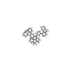 CC1(C)c2ccccc2-c2c(-c3cccc(N(c4cccc(-c5cccc6oc7ccccc7c56)c4)c4cccc5c4-c4ccccc4C5(C)C)c3)cccc21